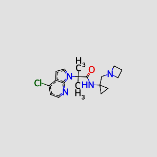 CC(C)(C(=O)NC1(CN2CCC2)CC1)n1ccc2c(Cl)ccnc21